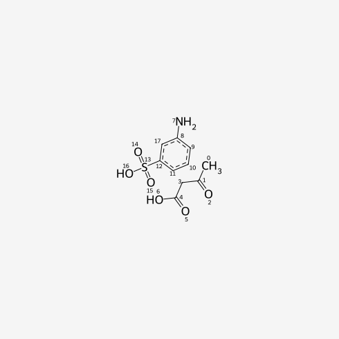 CC(=O)CC(=O)O.Nc1cccc(S(=O)(=O)O)c1